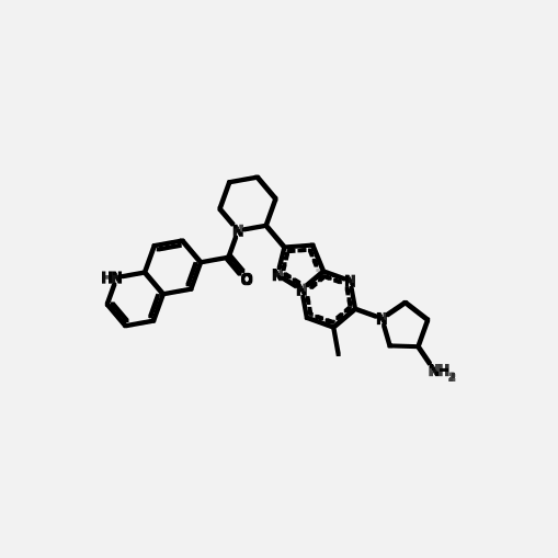 Cc1cn2nc(C3CCCCN3C(=O)C3=CC4=CC=CNC4C=C3)cc2nc1N1CCC(N)C1